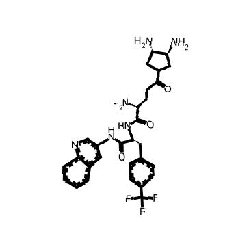 N[C@@H](CCC(=O)C1C[C@H](N)[C@@H](N)C1)C(=O)N[C@H](Cc1ccc(C(F)(F)F)cc1)C(=O)Nc1cnc2ccccc2c1